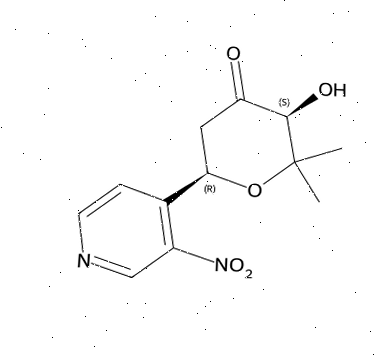 CC1(C)O[C@@H](c2ccncc2[N+](=O)[O-])CC(=O)[C@H]1O